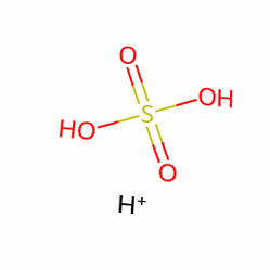 O=S(=O)(O)O.[H+]